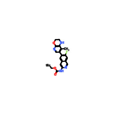 Cc1c(-c2cc3cc(NC(=O)OCC(C)(C)C)ncc3cc2F)cnc2c1NCCO2